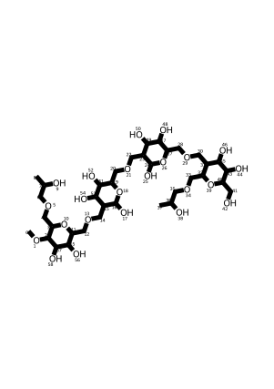 COC1C(COCC(C)O)OC(COCC2C(O)OC(COCC3C(O)OC(COCC4C(COCC(C)O)OC(CO)C(O)C4O)C(O)C3O)C(O)C2O)C(O)C1O